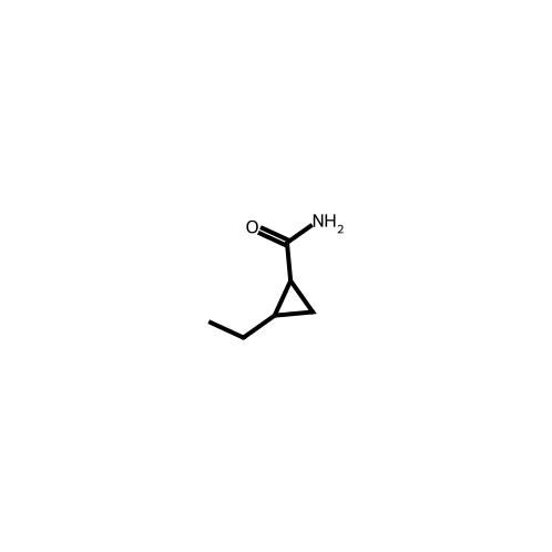 CCC1CC1C(N)=O